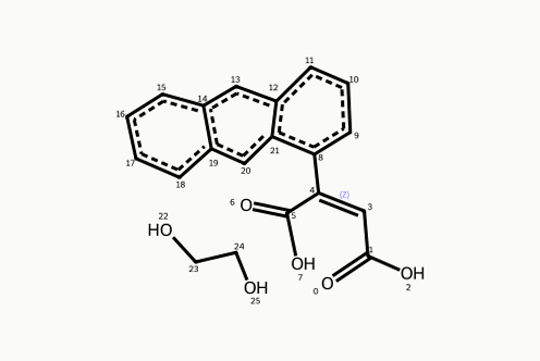 O=C(O)/C=C(\C(=O)O)c1cccc2cc3ccccc3cc12.OCCO